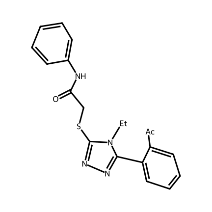 CCn1c(SCC(=O)Nc2ccccc2)nnc1-c1ccccc1C(C)=O